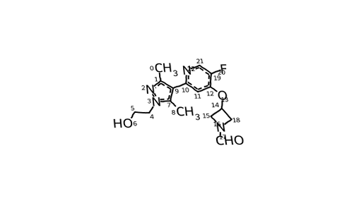 Cc1nn(CCO)c(C)c1-c1cc(OC2CN(C=O)C2)c(F)cn1